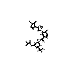 Cc1ccc(C(=O)Nc2cc(CNC(C)C)cc(C(C)(C)C)c2)cc1-n1cc(-c2cnn(C)c2C)nn1